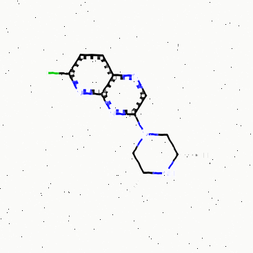 C[C@@H]1CN(c2cnc3ccc(Cl)nc3n2)C[C@H](C)N1